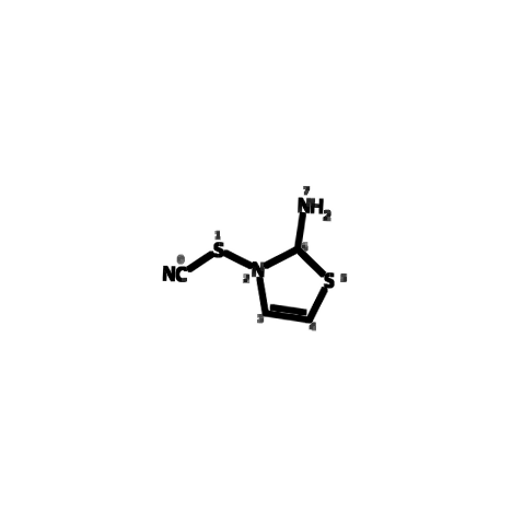 N#CSN1C=CSC1N